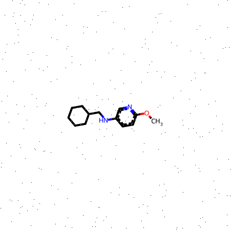 COc1ccc(NCC2CCCCC2)cn1